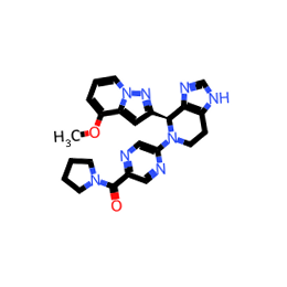 COc1cccn2nc([C@H]3c4nc[nH]c4CCN3c3cnc(C(=O)N4CCCC4)cn3)cc12